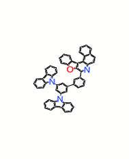 c1cc(-c2cc(-n3c4ccccc4c4ccccc43)cc(-n3c4ccccc4c4ccccc43)c2)cc(-c2nc3ccc4ccccc4c3c3c2oc2ccccc23)c1